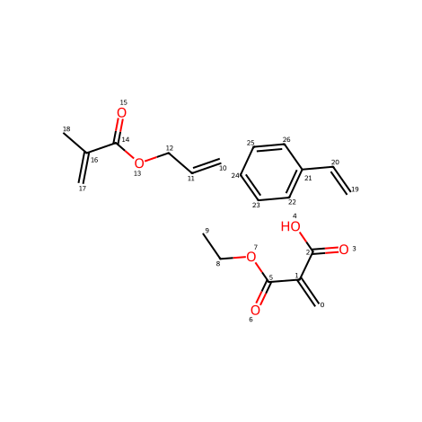 C=C(C(=O)O)C(=O)OCC.C=CCOC(=O)C(=C)C.C=Cc1ccccc1